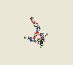 C#C/C1=C(Cl)\C(C)=C(/CC)c2c(-c3ccc(F)cc3)sc3ncnc(c23)O[C@@H](C(=O)O)Cc2cc(ccc2OCc2ccnc(C3=CC[C@](F)(COC[C@H]4COCCO4)CC3)n2)OC[C@@H](CN2CCN(C)CC2)O1